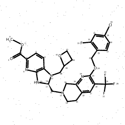 COC(=O)c1ccc2c(n1)N[C@H](CN1CCc3cc(C(F)(F)F)c(OCc4ccc(Cl)cc4F)nc3C1)N2CC1CCO1